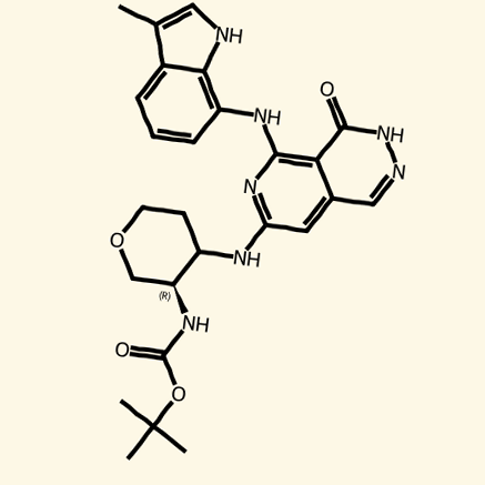 Cc1c[nH]c2c(Nc3nc(NC4CCOC[C@@H]4NC(=O)OC(C)(C)C)cc4cn[nH]c(=O)c34)cccc12